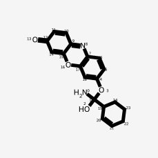 NC(O)(Oc1ccc2nc3ccc(=O)cc-3oc2c1)C1C=CCCC1